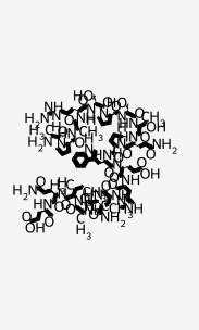 CCC(C)[C@@H](NC(=O)[C@@H](C)NC(=O)[C@@H](CC(N)=O)NC(=O)[C@H](NC(=O)C(Cc1c[nH]cn1)NC(=O)[C@@H](CCC(=O)O)NC(=O)[C@@H](Cc1c[nH]c2ccccc12)NC(=O)[C@@H]1CCCN1C(=O)[C@@H](CCC(N)=O)NC(=O)[C@H](NC(=O)[C@@H](CO)NC(=O)[C@H]1CCCN1C(=O)[C@@H](CO)NC(=O)[C@@H](CCCNC(=N)N)NC(=O)[C@@H](C)NC(=O)[C@H]1CCCN1C(=O)[C@@H](C)N)C(C)O)C(C)C)C(=O)N[C@H](CCC(N)=O)C(=O)N[C@@H](C=O)CCC(=O)O